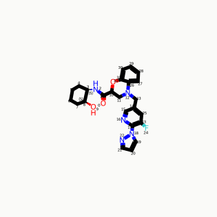 O=C(N[C@H]1CCCC[C@@H]1O)C1CN(Cc2cnc(-n3cccn3)c(F)c2)c2ccccc2O1